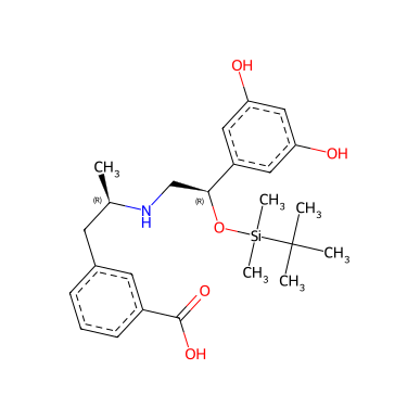 C[C@H](Cc1cccc(C(=O)O)c1)NC[C@H](O[Si](C)(C)C(C)(C)C)c1cc(O)cc(O)c1